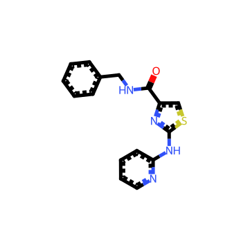 O=C(NCc1ccccc1)c1csc(Nc2ccccn2)n1